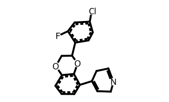 Fc1cc(Cl)ccc1C1COc2cccc(C3=CCN=CC3)c2O1